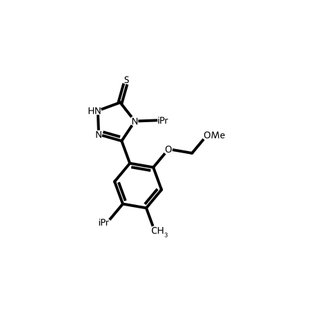 COCOc1cc(C)c(C(C)C)cc1-c1n[nH]c(=S)n1C(C)C